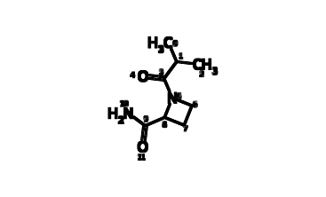 CC(C)C(=O)N1CCC1C(N)=O